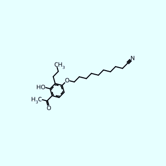 CCCc1c(OCCCCCCCCCC#N)ccc(C(C)=O)c1O